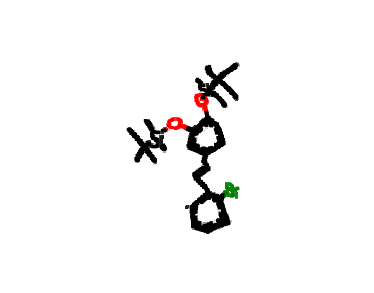 CC(C)(C)[Si](C)(C)Oc1ccc(C=Cc2[c]cccc2Br)cc1O[Si](C)(C)C(C)(C)C